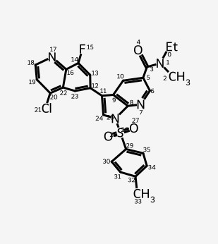 CCN(C)C(=O)c1cnc2c(c1)c(-c1cc(F)c3nccc(Cl)c3c1)cn2S(=O)(=O)c1ccc(C)cc1